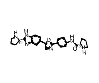 O=C(Nc1ccc(-c2ncc(-c3ccc4[nH]c([C@@H]5CCCN5)nc4c3)o2)cc1)[C@@H]1CCCN1